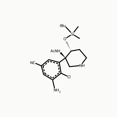 CC(=O)N[C@]1(c2cc(C#N)cc(N)c2Cl)CNCC[C@H]1O[Si](C)(C)C(C)(C)C